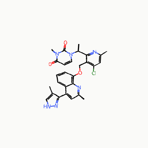 Cc1cc(Cl)c(COc2cccc3c(-c4n[nH]cc4C)cc(C)nc23)c(C(C)n2ccc(=O)n(C)c2=O)n1